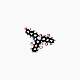 O=c1ccc2cc3c(ccc4c3nc3c5c(=O)c6ccccc6c(=O)c5c5nc6c7c(=O)c8ccccc8c(=O)c7cc(=O)c6c5c43)cc2c1